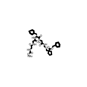 CCCCOC(=O)NCC(=O)NCC(=O)N[C@@H](Cc1ccccc1)C(=O)NCC(=O)NCOCC1(C(=O)OCc2ccccc2)CCCC1